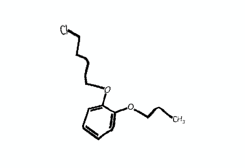 CCCOc1ccccc1OCCCCCl